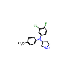 Cc1ccc(N(c2ccc(F)c(Cl)c2)C2CCNC2)cc1